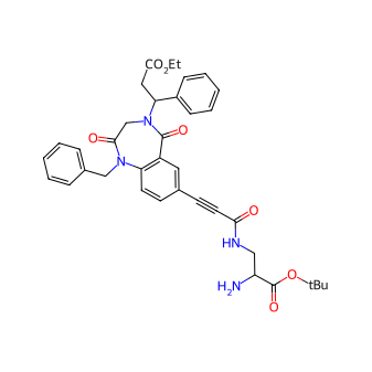 CCOC(=O)CC(c1ccccc1)N1CC(=O)N(Cc2ccccc2)c2ccc(C#CC(=O)NCC(N)C(=O)OC(C)(C)C)cc2C1=O